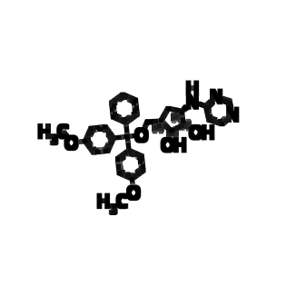 COc1ccc(C(OC[C@H]2C[C@@H](Nc3ccncn3)[C@H](O)[C@@H]2O)(c2ccccc2)c2ccc(OC)cc2)cc1